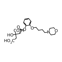 O=C(O)CC(O)(CC(=O)Oc1ccccc1OCCCCN1CCOCC1)C(=O)O